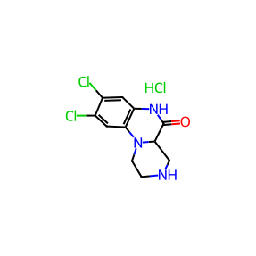 Cl.O=C1Nc2cc(Cl)c(Cl)cc2N2CCNCC12